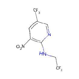 O=[N+]([O-])c1cc(C(F)(F)F)cnc1NCC(F)(F)F